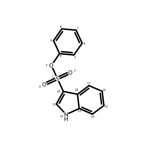 O=S(=O)(Oc1ccccc1)c1c[nH]c2ccccc12